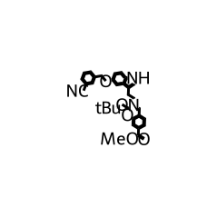 COC(=O)c1ccc(CN(CCc2c[nH]c3ccc(OCc4cccc(C#N)c4)cc23)C(=O)OC(C)(C)C)cc1